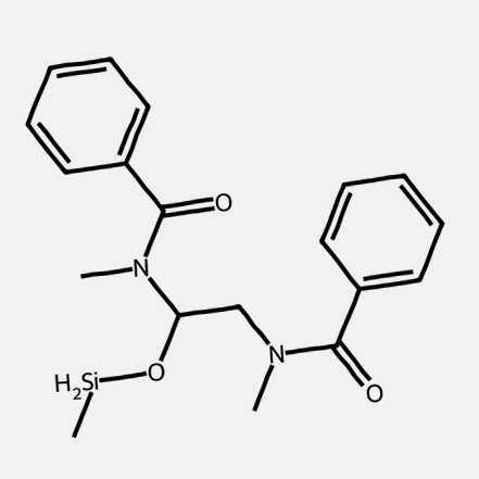 C[SiH2]OC(CN(C)C(=O)c1ccccc1)N(C)C(=O)c1ccccc1